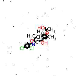 Cc1cc(C(O)CCc2nc(-c3ccc(Cl)cc3Cl)oc2C(C)C)ccc1OC(C)(C)CO